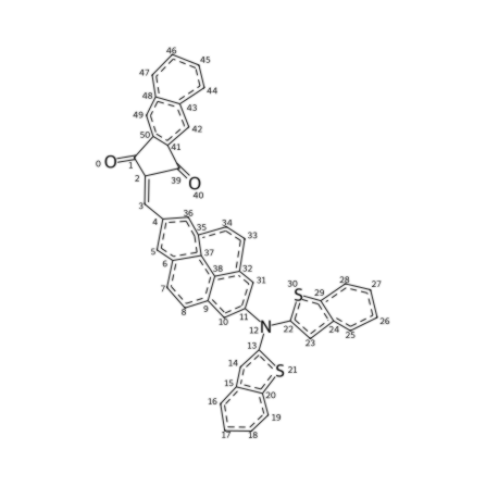 O=C1C(=Cc2cc3ccc4cc(N(c5cc6ccccc6s5)c5cc6ccccc6s5)cc5ccc(c2)c3c45)C(=O)c2cc3ccccc3cc21